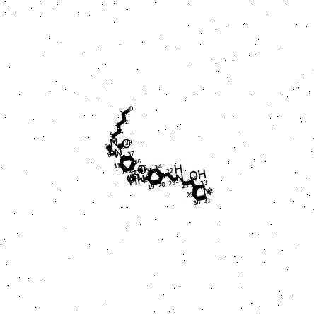 CCCCCCn1ccn(-c2ccc(S(=O)(=O)Nc3ccc(CCNCC(O)c4cccnc4)cc3)cc2)c1=O